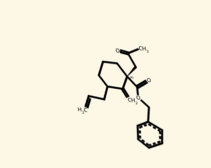 C=CCC1CCC[C@](CC(C)=O)(C(=O)OCc2ccccc2)C1=C